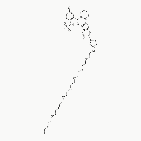 Cc1cn2nc([C@@H]3CCCCN3C(=O)c3cc(Cl)ccc3NS(C)(=O)=O)cc2nc1N1CC[C@H](NCCOCCOCCOCCOCCOCCOCCOCCOCI)C1